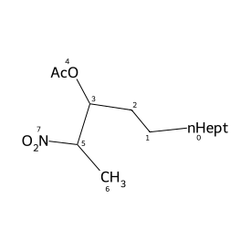 CCCCCCCCCC(OC(C)=O)C(C)[N+](=O)[O-]